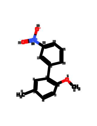 COc1ccc(C)cc1-c1cccc([N+](=O)[O-])c1